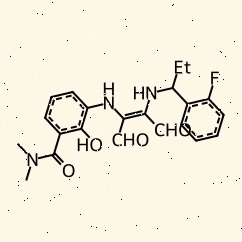 CCC(N/C(C=O)=C(/C=O)Nc1cccc(C(=O)N(C)C)c1O)c1ccccc1F